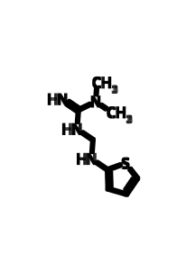 CN(C)C(=N)NCNc1cccs1